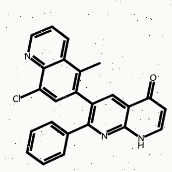 Cc1c(-c2cc3c(=O)cc[nH]c3nc2-c2ccccc2)cc(Cl)c2ncccc12